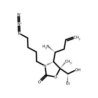 C=CC[C@@H](N)[C@H]1N(CCCCN=[N+]=[N-])C(=O)O[C@]1(C)[C@H](O)CC